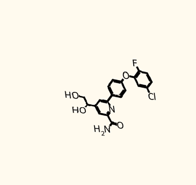 NC(=O)c1cc([C@@H](O)CO)cc(-c2ccc(Oc3cc(Cl)ccc3F)cc2)n1